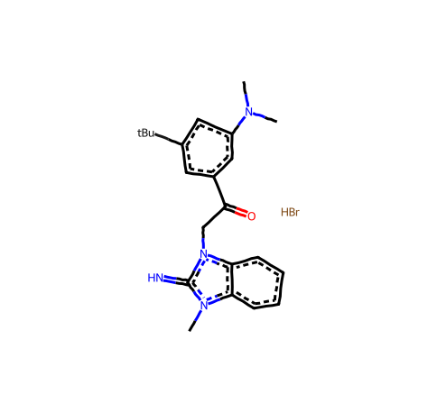 Br.CN(C)c1cc(C(=O)Cn2c(=N)n(C)c3ccccc32)cc(C(C)(C)C)c1